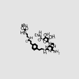 CCNC(=O)[C@H]1OC(n2cnc3c(N)nc(NCCc4ccc(CCC(=O)NCCNC(=O)OC(C)(C)C)cc4)nc32)[C@@H](O)C1O